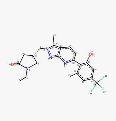 CCN1C[C@@H](Cn2nc3nc(-c4c(C)cc(C(F)(F)F)cc4O)ccc3c2C)CC1=O